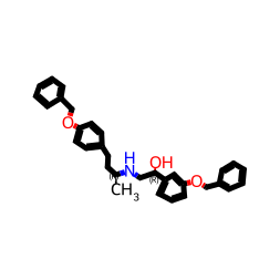 C[C@H](CCc1ccc(OCc2ccccc2)cc1)NC[C@H](O)c1cccc(OCc2ccccc2)c1